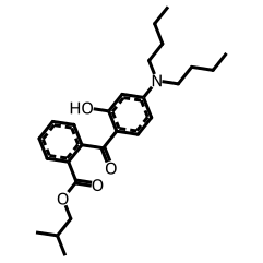 CCCCN(CCCC)c1ccc(C(=O)c2ccccc2C(=O)OCC(C)C)c(O)c1